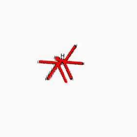 CCCCCCCCCCCCCCCCCCCCc1cc(Nc2nc(Nc3cc(CCCCCCCCCCCCCCCCCCCC)c(CCCCCCCCCCCCCCCCCCCC)c(CCCCCCCCCCCCCCCCCCCC)c3)nc(-c3ccc(CC)cc3)n2)cc(CCCCCCCCCCCCCCCCCCCC)c1CCCCCCCCCCCCCCCCCCCC